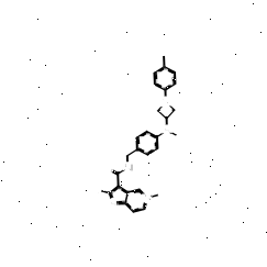 CCc1nc2ccn(C)cc-2c1C(=O)NCc1ccc(N(C)C2CN(c3ccc(C)cc3)C2)cc1